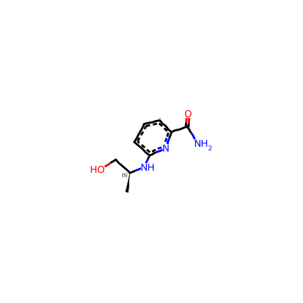 C[C@@H](CO)Nc1cc[c]c(C(N)=O)n1